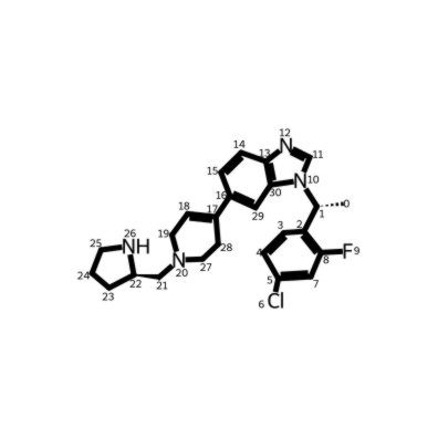 C[C@H](c1ccc(Cl)cc1F)n1cnc2ccc(C3=CCN(C[C@H]4CCCN4)CC3)cc21